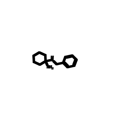 NC1(NCc2ccccc2)CCCCC1